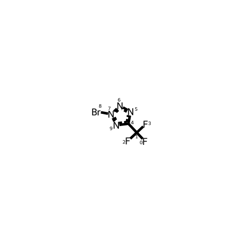 FC(F)(F)c1nnn(Br)n1